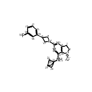 [O-][S@+]1CCc2nc(N3CC(c4cccc(F)c4)C3)nc(NC34CC(C3)C4)c21